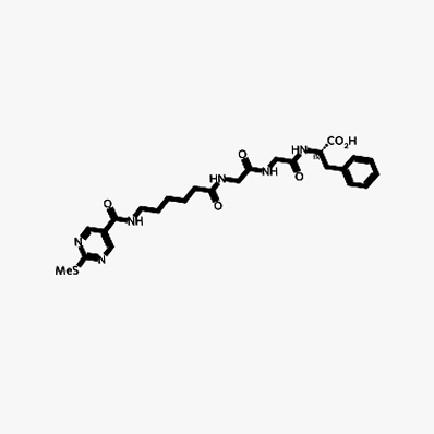 CSc1ncc(C(=O)NCCCCCC(=O)NCC(=O)NCC(=O)N[C@@H](Cc2ccccc2)C(=O)O)cn1